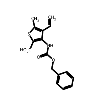 C=Cc1c(C)sc(C(=O)O)c1NC(=O)OCc1ccccc1